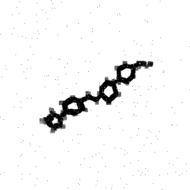 O=C(O)N1CCN([C@H]2CC[C@H](COc3ccc(-n4cnnn4)cc3)CC2)CC1